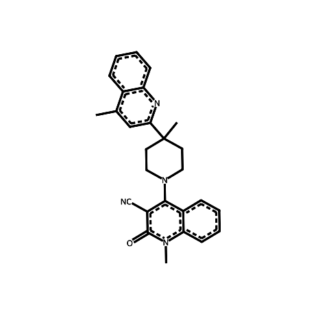 Cc1cc(C2(C)CCN(c3c(C#N)c(=O)n(C)c4ccccc34)CC2)nc2ccccc12